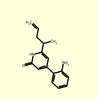 C=CCC(C)c1cc(-c2ccccc2[N+](=O)[O-])cc(=O)[nH]1